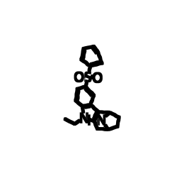 CCn1c2c(c3cc(S(=O)(=O)c4ccccc4)ccc31)C1CCC(C2)N1